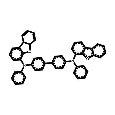 C1=CC2Oc3c(cccc3N(c3ccccc3)c3ccc(-c4ccc(N(c5ccccc5)c5cccc6c5oc5ccccc56)cc4)cc3)C2C=C1